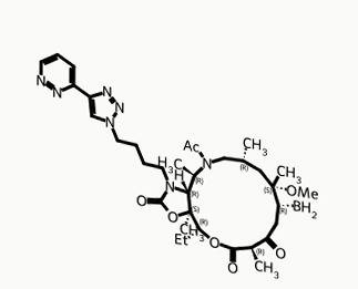 B[C@@H]1CC(=O)[C@@H](C)C(=O)O[C@H](CC)[C@@]2(C)OC(=O)N(CCCCn3cc(-c4cccnn4)nn3)[C@@H]2[C@@H](C)N(C(C)=O)C[C@H](C)C[C@]1(C)OC